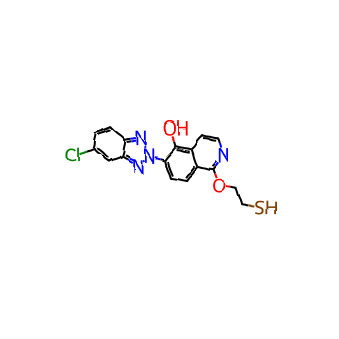 Oc1c(-n2nc3ccc(Cl)cc3n2)ccc2c(OCCS)nccc12